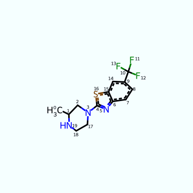 CC1CN(c2nc3ccc(C(F)(F)F)cc3s2)CCN1